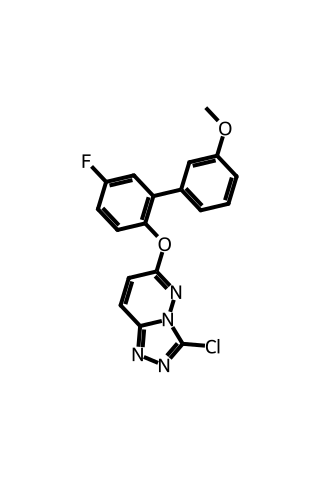 COc1cccc(-c2cc(F)ccc2Oc2ccc3nnc(Cl)n3n2)c1